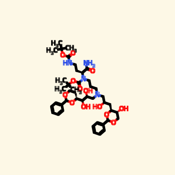 CC(C)(C)OC(=O)NCC[C@@H](C(N)=O)N(CCCN(C[C@H](O)C[C@@H]1OC(c2ccccc2)OC[C@H]1O)C[C@H](O)[C@@H](O)[C@H]1CCOC(c2ccccc2)O1)C(=O)OC(C)(C)C